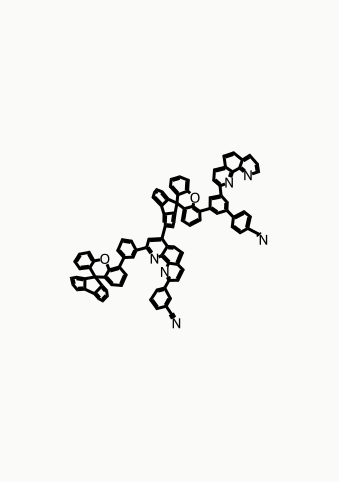 N#Cc1ccc(-c2cc(-c3ccc4ccc5cccnc5c4n3)cc(-c3cccc4c3Oc3ccccc3C43c4ccccc4-c4cc(-c5cc(-c6cccc(-c7cccc8c7Oc7ccccc7C87c8ccccc8-c8ccccc87)c6)nc6c5ccc5ccc(-c7cccc(C#N)c7)nc56)ccc43)c2)cc1